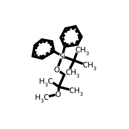 COC(C)(C)CO[Si](c1ccccc1)(c1ccccc1)C(C)(C)C